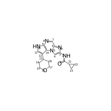 O=C(Nc1cn2c(cnc3[nH]cc(C4CCOCC4)c32)n1)C1CC1